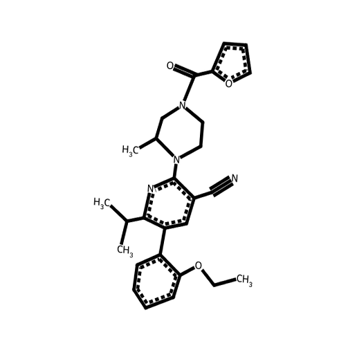 CCOc1ccccc1-c1cc(C#N)c(N2CCN(C(=O)c3ccco3)CC2C)nc1C(C)C